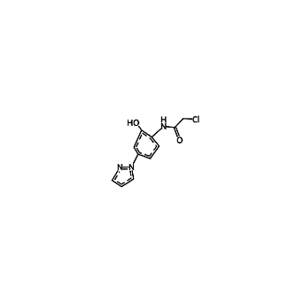 O=C(CCl)Nc1ccc(-n2cccn2)cc1O